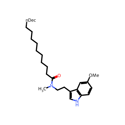 CCCCCCCCCCCCCCCCCCCC(=O)N(C)CCc1c[nH]c2ccc(OC)cc12